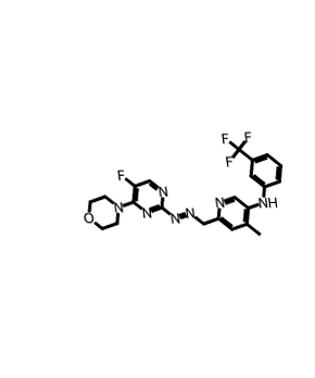 Cc1cc(C/N=N/c2ncc(F)c(N3CCOCC3)n2)ncc1Nc1cccc(C(F)(F)F)c1